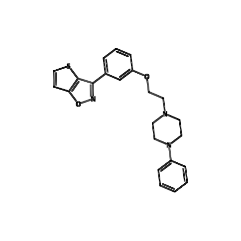 c1ccc(N2CCN(CCOc3cccc(-c4noc5ccsc45)c3)CC2)cc1